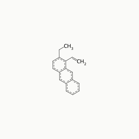 C=Cc1c(CC)ccc2cc3ccccc3cc12